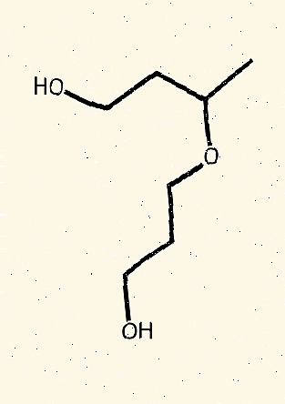 CC(CCO)OCCCO